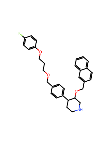 Fc1ccc(OCCCOCc2ccc(C3CCNCC3OCc3ccc4ccccc4c3)cc2)cc1